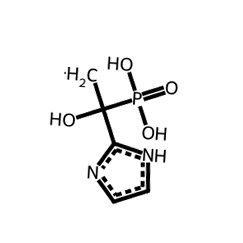 [CH2]C(O)(c1ncc[nH]1)P(=O)(O)O